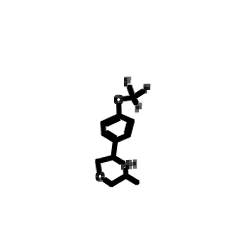 CC1COCC(c2ccc(OC(F)(F)F)cc2)N1